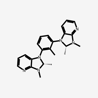 Cc1c(N2c3cccnc3N(C)[C@H]2C)cccc1N1c2cccnc2N(C)[C@@H]1C